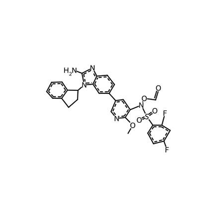 COc1ncc(-c2ccc3nc(N)n(C4CCc5ccccc54)c3c2)cc1N(OC=O)S(=O)(=O)c1ccc(F)cc1F